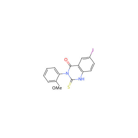 COc1ccccc1-n1c(=S)[nH]c2ccc(I)cc2c1=O